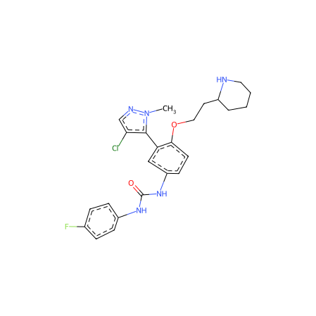 Cn1ncc(Cl)c1-c1cc(NC(=O)Nc2ccc(F)cc2)ccc1OCCC1CCCCN1